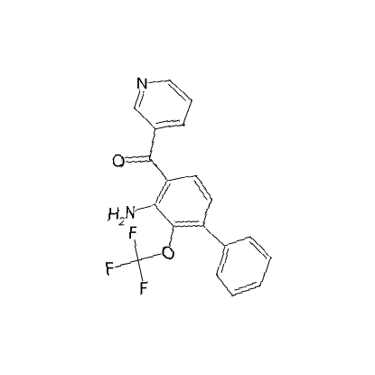 Nc1c(C(=O)c2cccnc2)ccc(-c2ccccc2)c1OC(F)(F)F